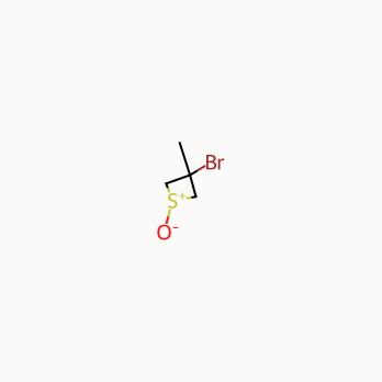 CC1(Br)C[S+]([O-])C1